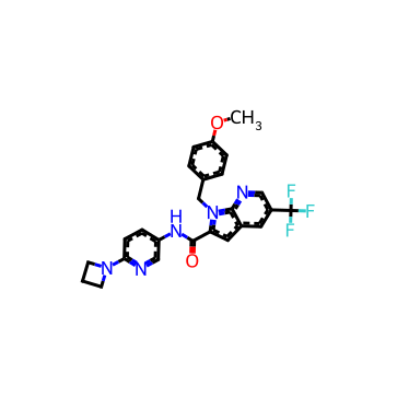 COc1ccc(Cn2c(C(=O)Nc3ccc(N4CCC4)nc3)cc3cc(C(F)(F)F)cnc32)cc1